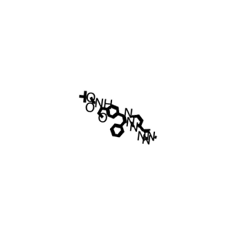 Cn1cc(-c2ccc3nc(-c4ccc5c(c4)OC[C@@H]5NC(=O)OC(C)(C)C)c(-c4ccccc4)n3n2)nn1